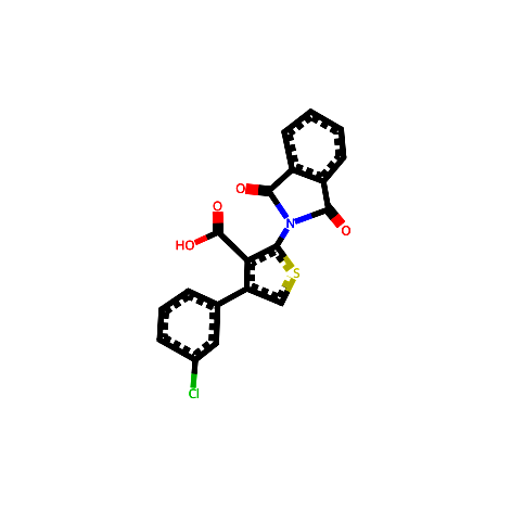 O=C(O)c1c(-c2cccc(Cl)c2)csc1N1C(=O)c2ccccc2C1=O